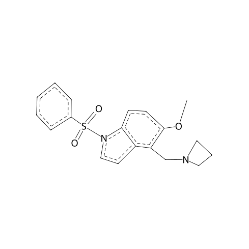 COc1ccc2c(ccn2S(=O)(=O)c2ccccc2)c1CN1CCC1